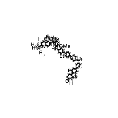 CCc1cc(Nc2ncc(Br)c(Nc3ccc4nc(C(C)(C)O)ccc4c3P(C)(C)=O)n2)c(OC)cc1N1CCC(N2CCN(C(=O)[C@@H]3CCN(c4cc(F)c(C5CCC(=O)NC5=O)c(F)c4)C3)CC2)CC1